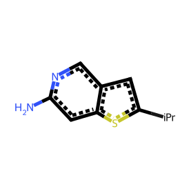 CC(C)c1cc2cnc(N)cc2s1